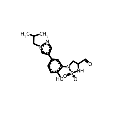 CC(C)Cn1cc(-c2ccc(O)c(N3CC(C=O)NS3(=O)=O)c2)cn1